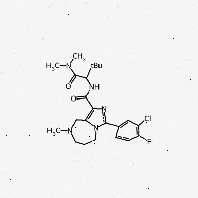 CN1CCCn2c(-c3ccc(F)c(Cl)c3)nc(C(=O)NC(C(=O)N(C)C)C(C)(C)C)c2C1